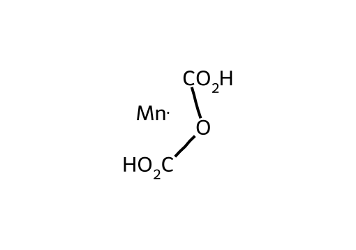 O=C(O)OC(=O)O.[Mn]